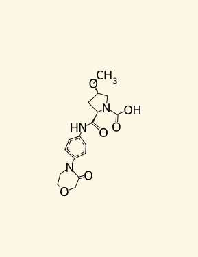 CO[C@@H]1C[C@H](C(=O)Nc2ccc(N3CCOCC3=O)cc2)N(C(=O)O)C1